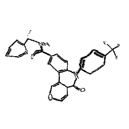 C[C@H](NC(=O)c1ccc2c(c1)C1=COC=CC1C(=O)N2c1ccc(C(F)(F)F)cc1)c1ccccn1